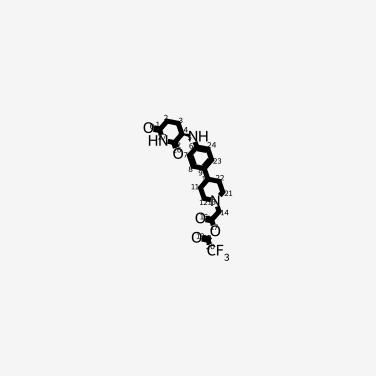 O=C1CC[C@@H](Nc2ccc(C3CCN(CC(=O)OC(=O)C(F)(F)F)CC3)cc2)C(=O)N1